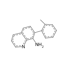 Cc1ccccc1-c1ccc2cccnc2c1N